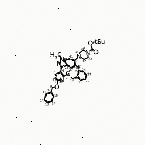 Cn1nc(-c2ccc(OCc3ccccc3)nc2OCc2ccccc2)c2cc(F)c(N3CCN(C(=O)OC(C)(C)C)CC3)cc21